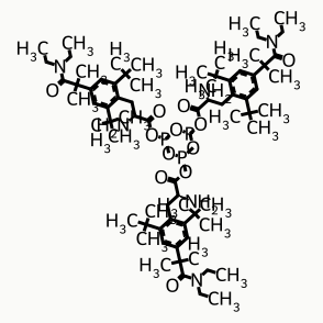 CCN(CC)C(=O)C(C)(C)c1cc(C(C)(C)C)c(C[C@H](N)C(=O)OP2OP(OC(=O)[C@@H](N)Cc3c(C(C)(C)C)cc(C(C)(C)C(=O)N(CC)CC)cc3C(C)(C)C)OP(OC(=O)[C@@H](N)Cc3c(C(C)(C)C)cc(C(C)(C)C(=O)N(CC)CC)cc3C(C)(C)C)O2)c(C(C)(C)C)c1